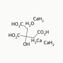 O.O=C(O)CC(O)(CC(=O)O)C(=O)O.[CaH2].[CaH2].[CaH2]